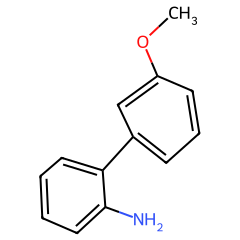 COc1cccc(-c2ccccc2N)c1